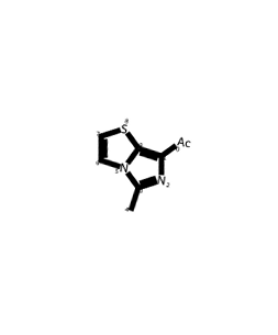 CC(=O)c1nc(C)n2ccsc12